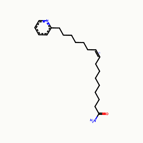 NC(=O)CCCCCCC/C=C\CCCCCCc1ccccn1